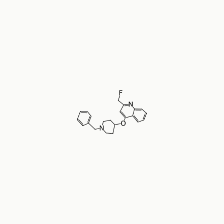 FCc1cc(OC2CCN(Cc3ccccc3)CC2)c2ccccc2n1